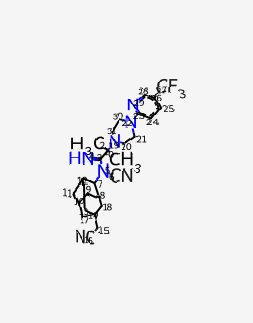 CC(C)(C(=N)N(C#N)C1C2CC3CC1CC(CC#N)(C3)C2)N1CCN(c2ccc(C(F)(F)F)cn2)CC1